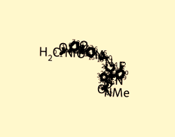 C=CC(=O)Nc1cccc(S(=O)(=O)c2ccc(N3CC(CN4CCC(C(C#N)(c5cccc(F)c5)C5CCCC5OC(=O)NC)CC4)C3)cc2)c1